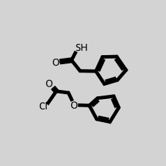 O=C(Cl)COc1ccccc1.O=C(S)Cc1ccccc1